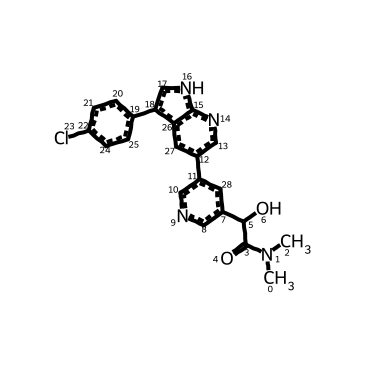 CN(C)C(=O)C(O)c1cncc(-c2cnc3[nH]cc(-c4ccc(Cl)cc4)c3c2)c1